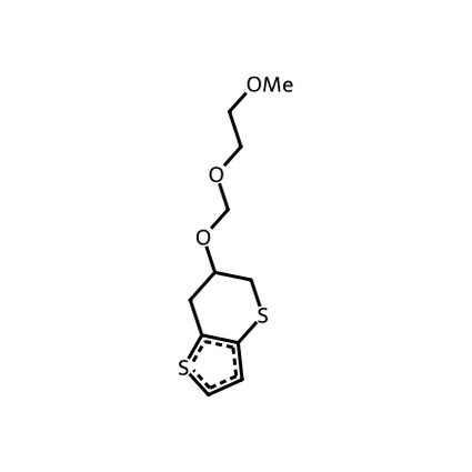 COCCOCOC1CSc2ccsc2C1